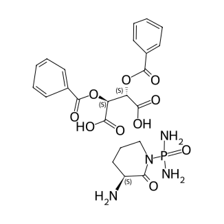 N[C@H]1CCCN(P(N)(N)=O)C1=O.O=C(O[C@H](C(=O)O)[C@H](OC(=O)c1ccccc1)C(=O)O)c1ccccc1